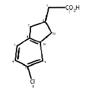 O=C(O)CC1Cc2ccc(Cl)cc2C1